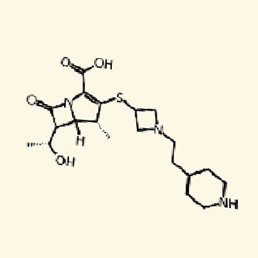 C[C@@H](O)[C@H]1C(=O)N2C(C(=O)O)=C(SC3CN(CCC4CCNCC4)C3)[C@H](C)[C@H]12